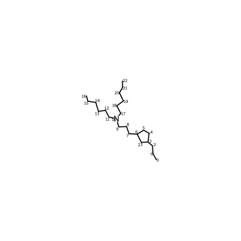 C[CH]CC1CCC(CCCN(CCCCCC)CCCCCC)C1